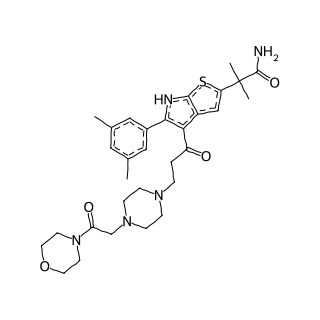 Cc1cc(C)cc(-c2[nH]c3sc(C(C)(C)C(N)=O)cc3c2C(=O)CCN2CCN(CC(=O)N3CCOCC3)CC2)c1